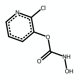 O=C(NO)Oc1cccnc1Cl